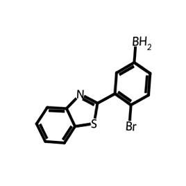 Bc1ccc(Br)c(-c2nc3ccccc3s2)c1